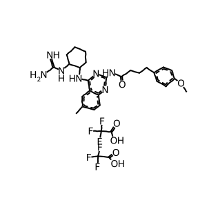 COc1ccc(CCCC(=O)Nc2nc(NC3CCCCC3NC(=N)N)c3cc(C)ccc3n2)cc1.O=C(O)C(F)(F)F.O=C(O)C(F)(F)F